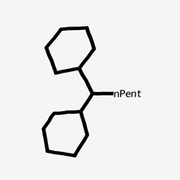 CC[CH]CCC(C1CCCCC1)C1CCCCC1